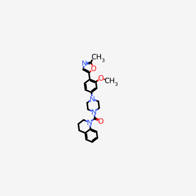 COc1cc(N2CCN(C(=O)N3CCCc4ccccc43)CC2)ccc1-c1cnc(C)o1